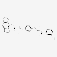 CC/S(=N\C(=O)Nc1c2c(cc3c1CCC3)CCC2)c1ccc(CCNC(=O)c2cc(Cl)ccc2OC)cc1